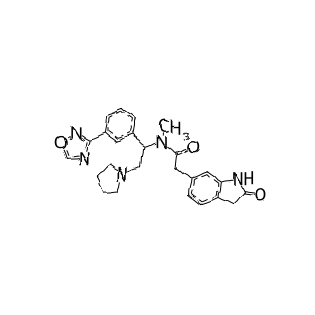 CN(C(=O)Cc1ccc2c(c1)NC(=O)C2)C(CN1CCCC1)c1cccc(-c2ncon2)c1